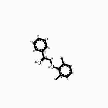 Cc1cccc(C)c1OCC(=O)c1ccccc1